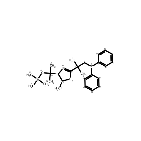 C[C@@H]1OC(C(C)(C)CP(c2ccccc2)c2ccccc2)=N[C@@H]1C(C)(C)O[Si](C)(C)C